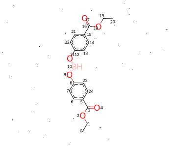 CCOC(=O)c1ccc(OBOc2ccc(C(=O)OCC)cc2)cc1